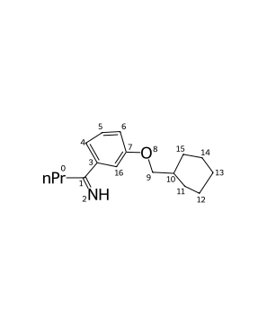 CCCC(=N)c1cccc(OCC2CCCCC2)c1